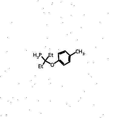 CCC(P)(CC)Oc1ccc(C)cc1